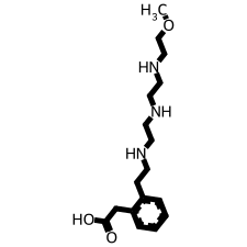 COCCNCCNCCNCCc1ccccc1CC(=O)O